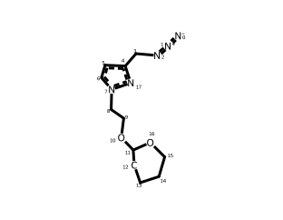 [N-]=[N+]=NCc1ccn(CCOC2CCCCO2)n1